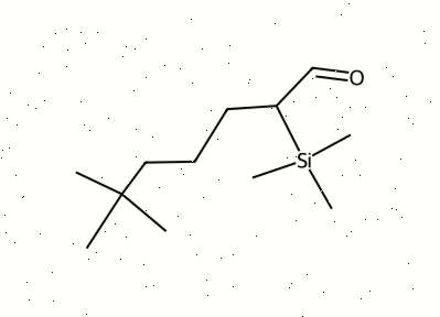 CC(C)(C)CCCC(C=O)[Si](C)(C)C